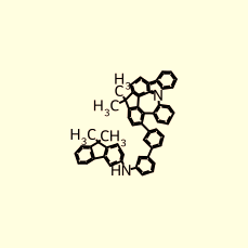 CC1(C)c2ccccc2-c2cc(Nc3cccc(-c4cccc(-c5ccc6c7c5-c5ccccc5-n5c8ccccc8c8ccc(c-7c85)C6(C)C)c4)c3)ccc21